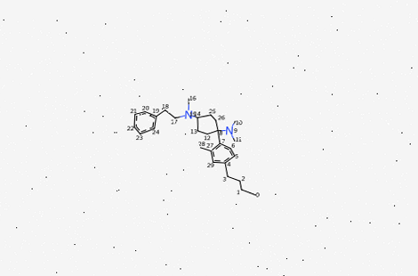 CCCCc1ccc(C2(N(C)C)CCC(N(C)CCc3ccccc3)CC2)c(C)c1